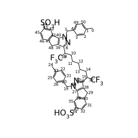 Cc1ccc(Cn2nc(C(CCCCCC(c3nn(Cc4ccc(C)cc4)c4c3Cc3ccc(S(=O)(=O)O)cc3-4)C(F)(F)F)C(F)(F)F)c3c2-c2cc(S(=O)(=O)O)ccc2C3)cc1